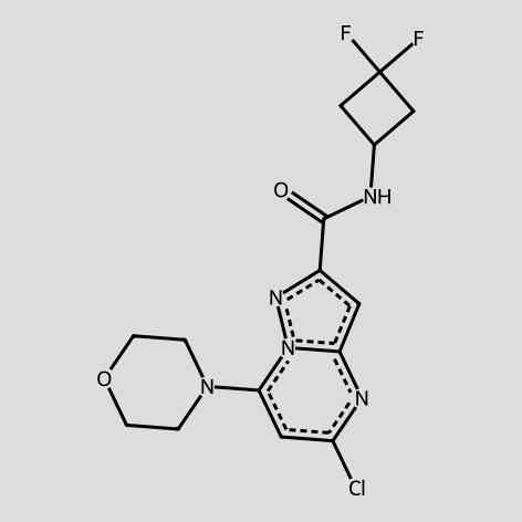 O=C(NC1CC(F)(F)C1)c1cc2nc(Cl)cc(N3CCOCC3)n2n1